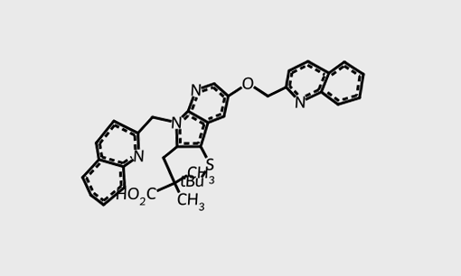 CC(C)(C)Sc1c(CC(C)(C)C(=O)O)n(Cc2ccc3ccccc3n2)c2ncc(OCc3ccc4ccccc4n3)cc12